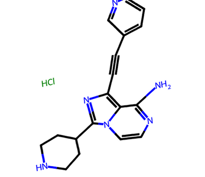 Cl.Nc1nccn2c(C3CCNCC3)nc(C#Cc3cccnc3)c12